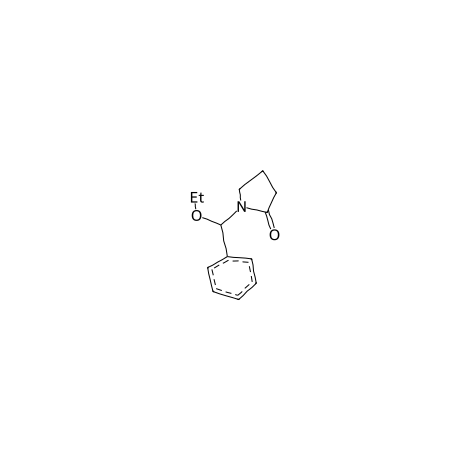 CCOC(c1ccccc1)N1CCCC1=O